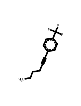 CCCCC#Cc1ccc(C(F)(F)F)cc1